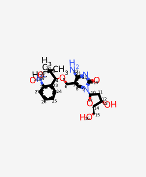 CC(C)(C)[C@H](OCc1cn([C@H]2CC(O)[C@@H](CO)O2)c(=O)nc1N)c1ccccc1[N+](=O)[O-]